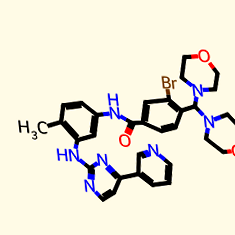 Cc1ccc(NC(=O)c2ccc(C(N3CCOCC3)N3CCOCC3)c(Br)c2)cc1Nc1nccc(-c2cccnc2)n1